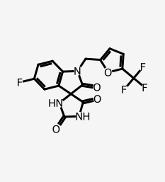 O=C1NC(=O)C2(N1)C(=O)N(Cc1ccc(C(F)(F)F)o1)c1ccc(F)cc12